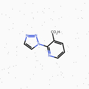 O=C(O)c1cccnc1-n1ccnn1